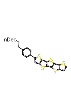 CCCCCCCCCCCCc1ccc(-c2cc3sc4c(sc5c6sccc6sc54)c3s2)cc1